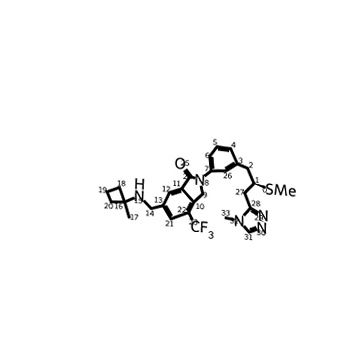 CS[C@H](Cc1cccc(N2Cc3c(cc(CNC4(C)CCC4)cc3C(F)(F)F)C2=O)c1)Cc1nncn1C